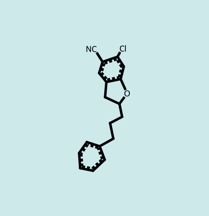 N#Cc1cc2c(cc1Cl)OC(CCCc1ccccc1)C2